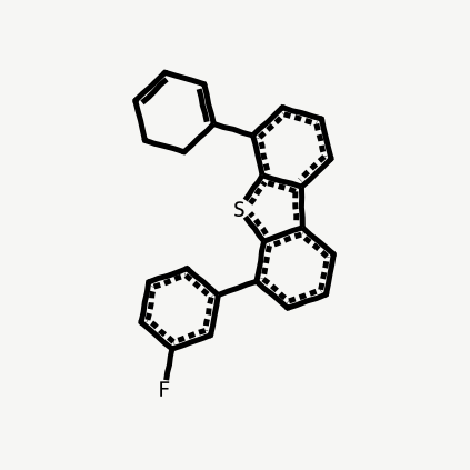 Fc1cccc(-c2cccc3c2sc2c(C4=CC=CCC4)cccc23)c1